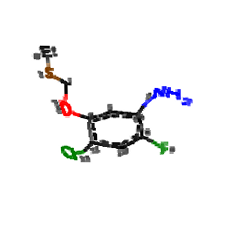 CCSCOc1cc(N)c(F)cc1Cl